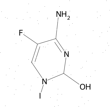 NC1=NC(O)N(I)C=C1F